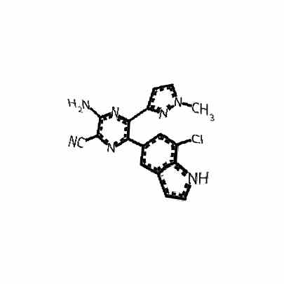 Cn1ccc(-c2nc(N)c(C#N)nc2-c2cc(Cl)c3[nH]ccc3c2)n1